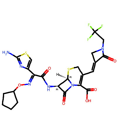 Nc1nc(C(=NOC2CCCC2)C(=O)N[C@@H]2C(=O)N3C(C(=O)O)=C(C=C4CN(CC(F)(F)F)C4=O)CS[C@H]23)cs1